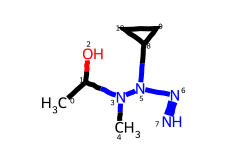 CC(O)N(C)N(N=N)C1CC1